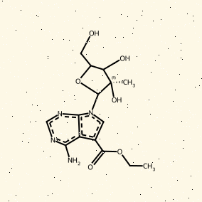 CCOC(=O)c1cn(C2OC(CO)C(O)[C@@]2(C)O)c2ncnc(N)c12